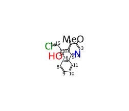 COc1ccnc(-c2ccccc2)c1C(O)CCl